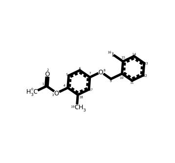 CC(=O)Oc1ccc(OCc2ccccc2I)cc1C